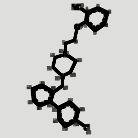 N#Cc1ccccc1OCCN1CCN(Cc2ccccc2-c2ccc(Cl)cc2)CC1